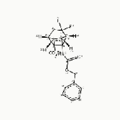 CCOC(=O)[C@@H]1[C@@H]2CC[C@H]([C@@H]1NC(=O)OCc1ccccc1)C(F)(F)C2